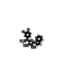 NC(c1ccc(F)c(F)c1)C1OC(n2ccc3cncnc32)C(O)C1O